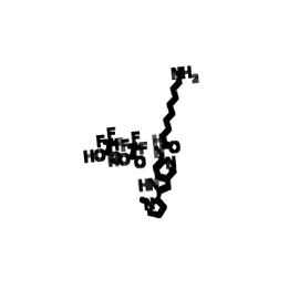 CN1CCC[C@@H]1c1cc2cnc(NC(=O)CCCCCCCCN)cc2[nH]1.O=C(O)C(F)(F)F.O=C(O)C(F)(F)F